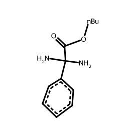 CCCCOC(=O)C(N)(N)c1ccccc1